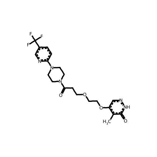 Cc1c(OCCOCCC(=O)N2CCN(c3ccc(C(F)(F)F)cn3)CC2)cn[nH]c1=O